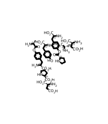 CC(C)[C@H](N)C(=O)O.C[C@H](N)C(=O)Oc1ccc(C[C@H](N)C(=O)O)cc1.N[C@@H](CC(=O)O)C(=O)O.N[C@@H](CC(=O)O)C(=O)O.N[C@@H](Cc1ccc(O)cc1)C(=O)O.N[C@@H](Cc1ccc(OC(=O)[C@@H]2CCCN2)cc1)C(=O)O.O=C(O)[C@@H]1CCCN1